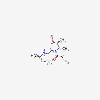 C=C(CC)NCCN(C(=O)CC)C(C)C(=C)C=O